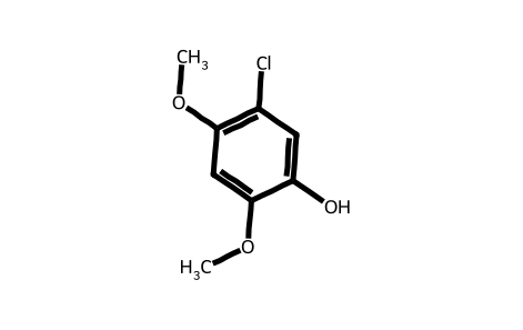 COc1cc(OC)c(Cl)cc1O